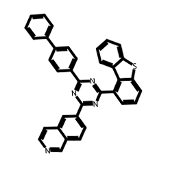 c1ccc(-c2ccc(-c3nc(-c4ccc5cnccc5c4)nc(-c4cccc5sc6ccccc6c45)n3)cc2)cc1